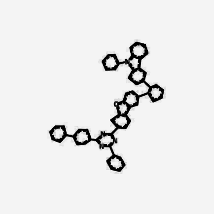 c1ccc(-c2ccc(-c3nc(-c4ccccc4)nc(-c4ccc5c(c4)oc4ccc(-c6ccccc6-c6ccc7c(c6)c6ccccc6n7-c6ccccc6)cc45)n3)cc2)cc1